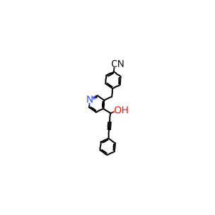 N#Cc1ccc(Cc2cnccc2C(O)C#Cc2ccccc2)cc1